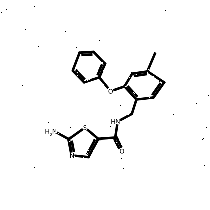 Cc1ccc(CNC(=O)c2cnc(N)s2)c(Oc2ccccc2)c1